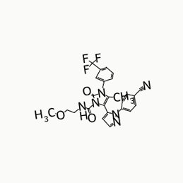 COCCNC(=O)n1c(-c2ccnn2-c2ccc(C#N)cc2)c(C)n(-c2cccc(C(F)(F)F)c2)c1=O